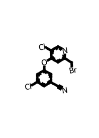 N#Cc1cc(Cl)cc(Oc2cc(CBr)ncc2Cl)c1